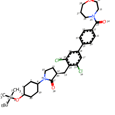 CC(C)(C)[Si](C)(C)OC1CCC(N2CC[C@@H](Cc3c(Cl)cc(-c4ccc(C(=O)N5CCCOCC5)cc4)cc3Cl)C2=O)CC1